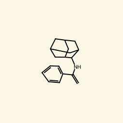 C=C(NC1C2CC3CC(C2)CC1C3)c1ccccc1